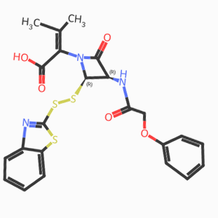 CC(C)=C(C(=O)O)N1C(=O)[C@@H](NC(=O)COc2ccccc2)[C@H]1SSc1nc2ccccc2s1